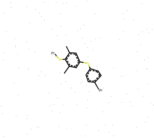 Cc1cc(Sc2ccc(C(C)C)cc2)cc(C)c1SC(C)C